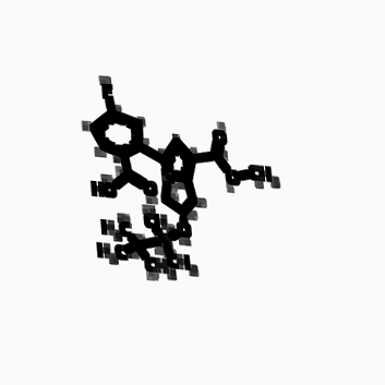 COC(=O)c1cc(-c2cc(F)ccc2C(=O)O)n2c1C[C@@H](O[Si](C)(C)C(C)(C)C)C2